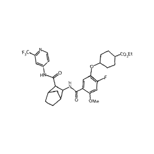 CCOC(=O)C1CCC(Oc2cc(C(=O)NC3C4CCC(C4)C3C(=O)Nc3ccnc(C(F)(F)F)c3)c(OC)cc2F)CC1